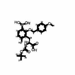 COc1ccc(COc2c(B(O)O)ccc(F)c2C[C@H](NC(=O)OC(C)(C)C)C(=O)O)cc1